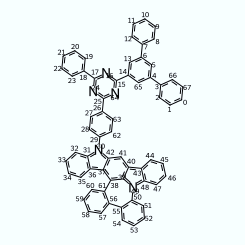 c1ccc(-c2cc(-c3ccccc3)cc(-c3nc(-c4ccccc4)nc(-c4ccc(-n5c6ccccc6c6c7c8c(cc65)c5ccccc5n8-c5ccccc5-c5ccccc5-7)cc4)n3)c2)cc1